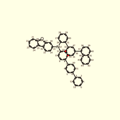 c1ccc(-c2ccc(-c3ccc(N(c4ccc5c(c4)oc4ccccc45)c4ccccc4-c4cccc(-c5cccc6ccccc56)c4)cc3)cc2)cc1